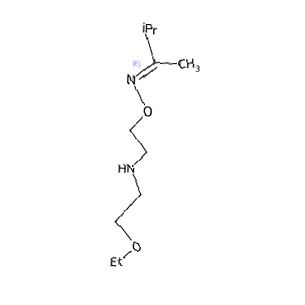 CCOCCNCCO/N=C(\C)C(C)C